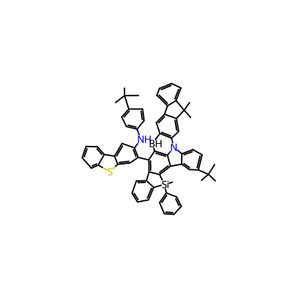 CC(C)(C)c1ccc(Nc2cc3c(cc2-c2c4c(c5c6cc(C(C)(C)C)ccc6n6c5c2Bc2cc5c(cc2-6)C(C)(C)c2ccccc2-5)[Si](C)(c2ccccc2)c2ccccc2-4)sc2ccccc23)cc1